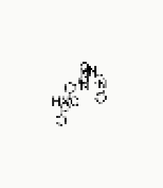 CN(C(=O)n1cnc(-c2cccc(C(=O)NOCc3ccccc3)c2)c1)C1CCN(Cc2ccccc2)CC1